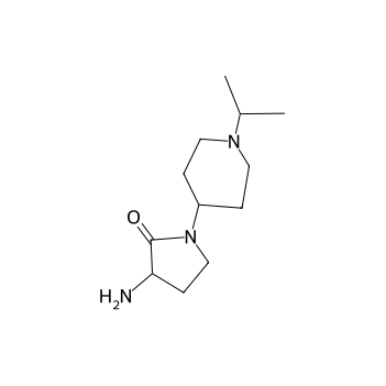 CC(C)N1CCC(N2CCC(N)C2=O)CC1